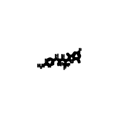 Cc1c(C(NC(=O)Nc2cnc(N)nc2)C(F)(F)F)oc2c(C)cc(F)cc12